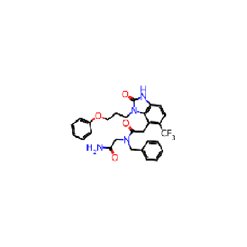 NC(=O)CN(Cc1ccccc1)C(=O)Cc1c(C(F)(F)F)ccc2[nH]c(=O)n(CCCOc3ccccc3)c12